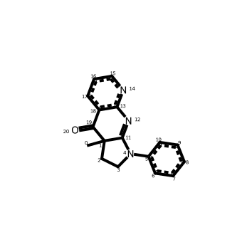 CC12CCN(c3ccccc3)C1=Nc1ncccc1C2=O